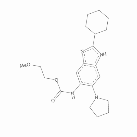 COCCOC(=O)Nc1cc2nc(C3CCCCC3)[nH]c2cc1N1CCCC1